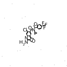 Nc1nc2cc(Cl)c(C(=O)N(C3CC3)C3COc4cc(C(F)(F)F)ccc43)cc2c2c1COC2